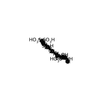 COc1cc(N=Nc2ccc(N=Nc3ccc(N=Nc4cc5c(S(=O)(=O)O)cc(S(=O)(=O)O)cc5cc4S(=O)(=O)O)c(C)c3)c(C)c2)c(C)cc1N=Nc1c(S(=O)(=O)O)cc2cc(Nc3ccccc3)ccc2c1O